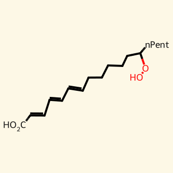 CCCCCC(CCCCCC=CC=CC=CC(=O)O)OO